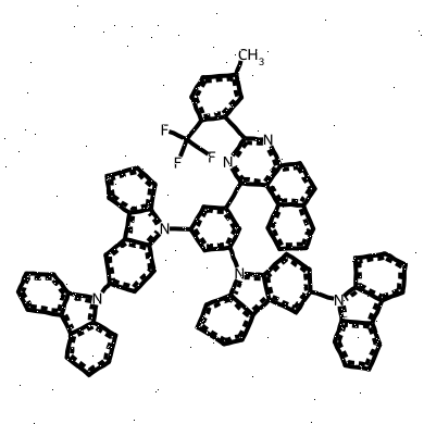 Cc1ccc(C(F)(F)F)c(-c2nc(-c3cc(-n4c5ccccc5c5cc(-n6c7ccccc7c7ccccc76)ccc54)cc(-n4c5ccccc5c5cc(-n6c7ccccc7c7ccccc76)ccc54)c3)c3c(ccc4ccccc43)n2)c1